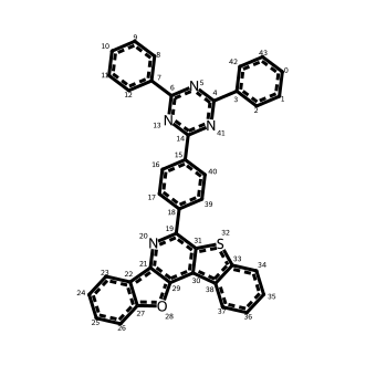 c1ccc(-c2nc(-c3ccccc3)nc(-c3ccc(-c4nc5c6ccccc6oc5c5c4sc4ccccc45)cc3)n2)cc1